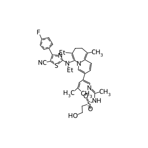 CCC1=C(N(CC)c2nc(-c3ccc(F)cc3)c(C#N)s2)N2C=C(/C(C=C(C)C)=C/N=C(\C)NS(=O)(=O)CCO)C=CC2=C(C)CC1